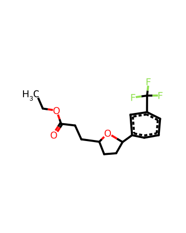 CCOC(=O)CCC1CCC(c2cccc(C(F)(F)F)c2)O1